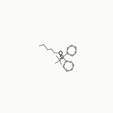 CCCCCO[Si](c1ccccc1)(c1ccccc1)C(C)(C)C